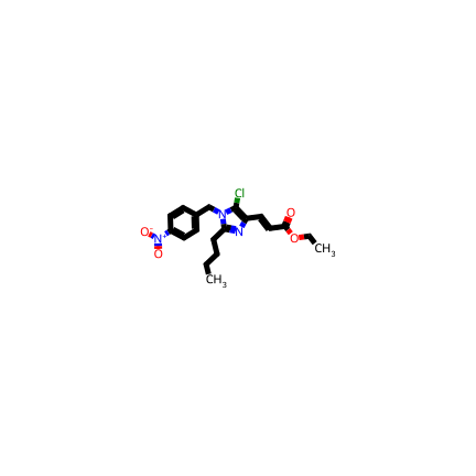 CCCCc1nc(C=CC(=O)OCC)c(Cl)n1Cc1ccc([N+](=O)[O-])cc1